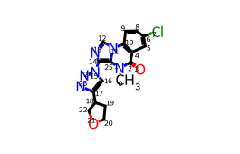 Cn1c(=O)c2cc(Cl)ccc2n2cnc(-n3cc(C4CCOC4)nn3)c12